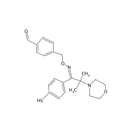 CC(C)(/C(=N/OCc1ccc(C=O)cc1)c1ccc(S)cc1)N1CCOCC1